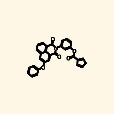 O=C(Oc1cccc(N2C(=O)c3cccc4cc(Oc5ccccc5)cc(c34)C2=O)c1)C1=CCC=C1